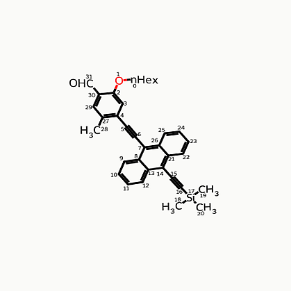 CCCCCCOc1cc(C#Cc2c3ccccc3c(C#C[Si](C)(C)C)c3ccccc23)c(C)cc1C=O